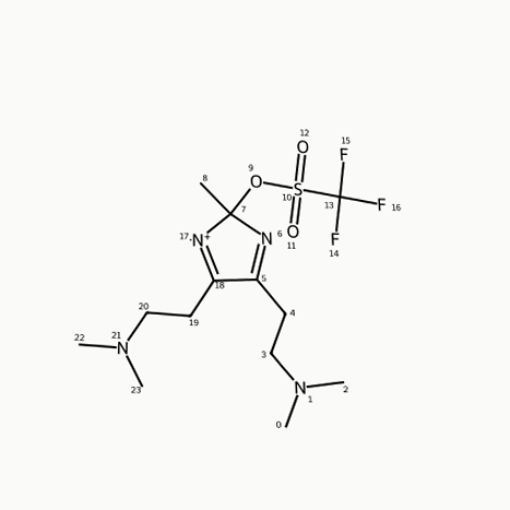 CN(C)CCC1=NC(C)(OS(=O)(=O)C(F)(F)F)[N+]=C1CCN(C)C